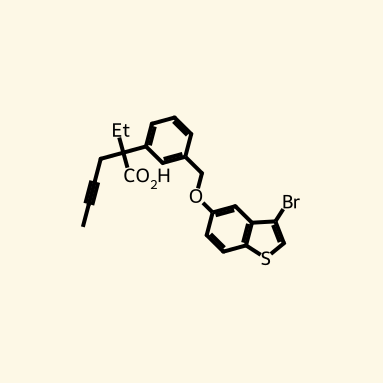 CC#CCC(CC)(C(=O)O)c1cccc(COc2ccc3scc(Br)c3c2)c1